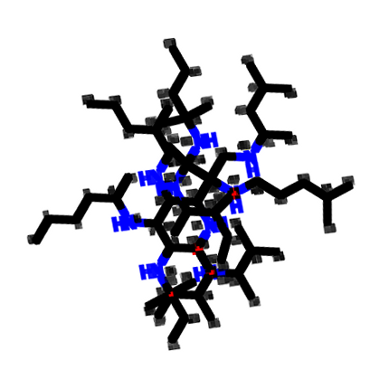 CCCCC(C)NC([C](CNC(C)C(C)C)NC(C)(C)CC)C(NCC(C)CCC)C(NCCC(C)CC)C(CNC(C)CC(C)C)(NCCCC(C)C)C(C)(NC(C)C(C)CC)NC(C)(C)CCC